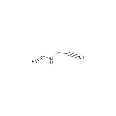 C#CCN[C]=N